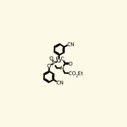 CCOC(=O)CN(CP(=O)(Oc1cccc(C#N)c1)Oc1cccc(C#N)c1)C(=O)C(F)(F)F